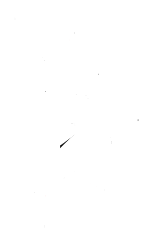 COC(=O)C[C@@H]1CC=CC[C@H]1CC(=O)OC